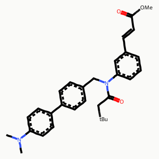 COC(=O)/C=C/c1cccc(N(Cc2ccc(-c3ccc(N(C)C)cc3)cc2)C(=O)CC(C)(C)C)c1